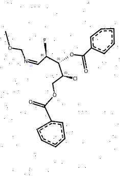 COC/N=C\[C@@H](F)[C@H](OC(=O)c1ccccc1)[C@@H](Cl)COC(=O)c1ccccc1